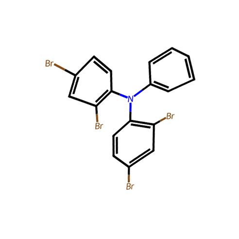 Brc1ccc(N(c2ccccc2)c2ccc(Br)cc2Br)c(Br)c1